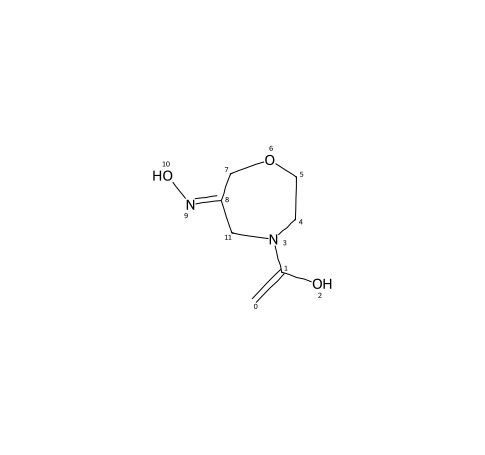 C=C(O)N1CCOC/C(=N\O)C1